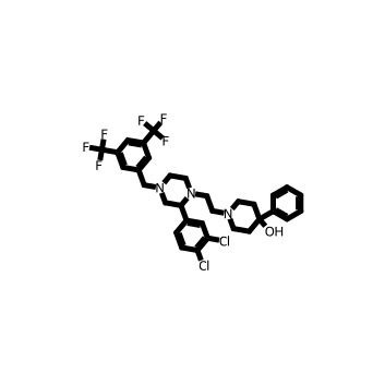 OC1(c2ccccc2)CCN(CCN2CCN(Cc3cc(C(F)(F)F)cc(C(F)(F)F)c3)CC2c2ccc(Cl)c(Cl)c2)CC1